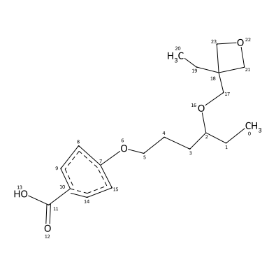 CCC(CCCOc1ccc(C(=O)O)cc1)OCC1(CC)COC1